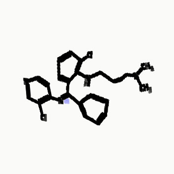 CN(C)CCCNc1c(Cl)cccc1/C(=N\c1ccncc1Cl)c1ccccc1